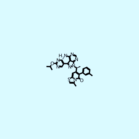 Cc1cccc(-c2c([C@H](C)n3nc(-c4cnc(OC(C)C)nc4)c4c(N)ncnc43)cc3scc(C)n3c2=O)c1